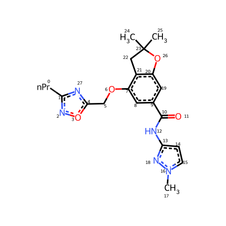 CCCc1noc(COc2cc(C(=O)Nc3ccn(C)n3)cc3c2CC(C)(C)O3)n1